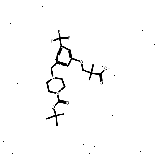 CC(C)(C)OC(=O)N1CCN(Cc2cc(OCC(C)(C)C(=O)O)cc(C(F)(F)F)c2)CC1